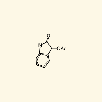 CC(=O)OC1C(=O)Nc2ccccc21